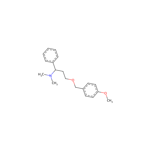 COc1ccc(COCCC(c2ccccc2)N(C)C)cc1